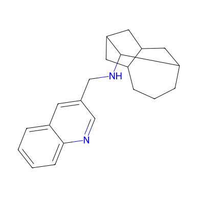 c1ccc2ncc(CNC3C4CCCC5CC3CC5C4)cc2c1